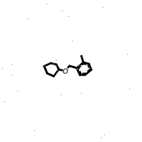 Cc1ccccc1COC1CCCCC1